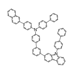 c1ccc(-c2ccc(N(c3ccc(-c4cccc(-c5ccc6c7ccccc7n(-c7ccc(-c8ccccc8)cc7)c6c5)c4)cc3)c3ccc(-c4ccc5ccccc5c4)cc3)cc2)cc1